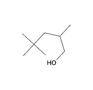 CC(CO)CC(C)(C)C